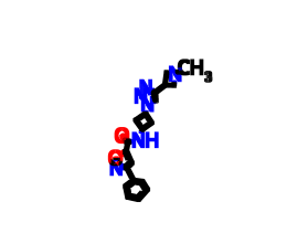 CN1CC(c2cn(C3CC(NC(=O)c4cc(-c5ccccc5)no4)C3)nn2)C1